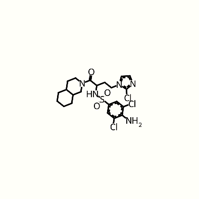 Nc1c(Cl)cc(S(=O)(=O)NC(CCn2ccnc2Cl)C(=O)N2CCC3CCCCC3C2)cc1Cl